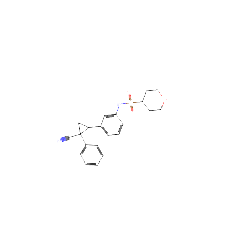 N#CC1(c2ccccc2)CC1c1cccc(NS(=O)(=O)C2CCOCC2)c1